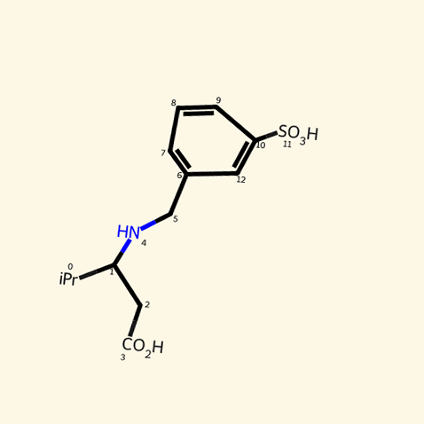 CC(C)C(CC(=O)O)NCc1cccc(S(=O)(=O)O)c1